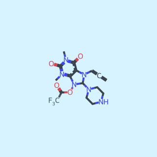 C=C=CN1c2c(n(C)c(=O)n(C)c2=O)N(OC(=O)C(F)(F)F)C1N1CCNCC1